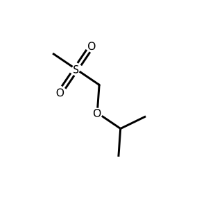 CC(C)OCS(C)(=O)=O